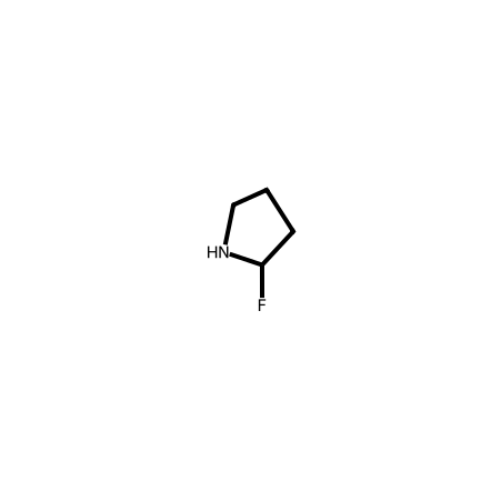 FC1CCCN1